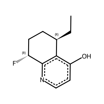 CC[C@@H]1CC[C@@H](F)c2nccc(O)c21